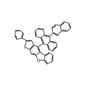 c1ccc(-c2cc3c(-c4c5ccccc5c(-c5ccc6ccccc6c5)c5ccccc45)c4c(cc3s2)oc2ccccc24)cc1